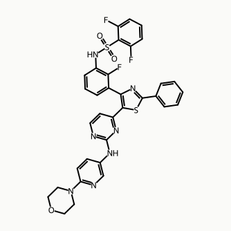 O=S(=O)(Nc1cccc(-c2nc(-c3ccccc3)sc2-c2ccnc(Nc3ccc(N4CCOCC4)nc3)n2)c1F)c1c(F)cccc1F